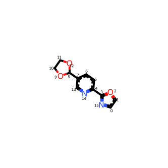 c1coc(-c2ccc(C3OCCO3)cn2)n1